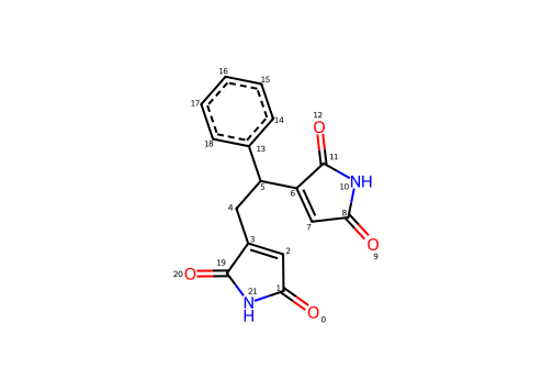 O=C1C=C(CC(C2=CC(=O)NC2=O)c2ccccc2)C(=O)N1